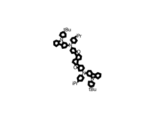 CC(C)c1ccc(N(c2ccc3c(c2)oc2ccc4c(ccc5oc6cc(N(c7ccc(C(C)C)cc7)c7ccc8c9ccccc9n(-c9ccc(C(C)(C)C)cc9)c8c7)ccc6c54)c23)c2ccc3c4ccccc4n(-c4ccc(C(C)(C)C)cc4)c3c2)cc1